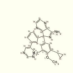 COc1c(C)cc(C2(c3cccc(-c4cncnc4)c3)N=C(N)c3nccnc32)cc1C1CC1